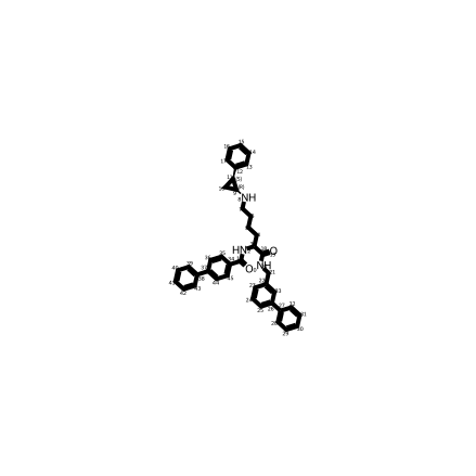 O=C(NC(CCCCN[C@@H]1C[C@H]1c1ccccc1)C(=O)NCc1cccc(-c2ccccc2)c1)c1ccc(-c2ccccc2)cc1